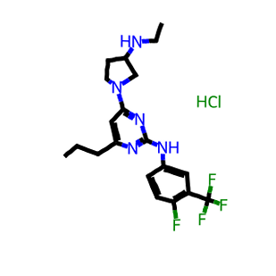 CCCc1cc(N2CCC(NCC)C2)nc(Nc2ccc(F)c(C(F)(F)F)c2)n1.Cl